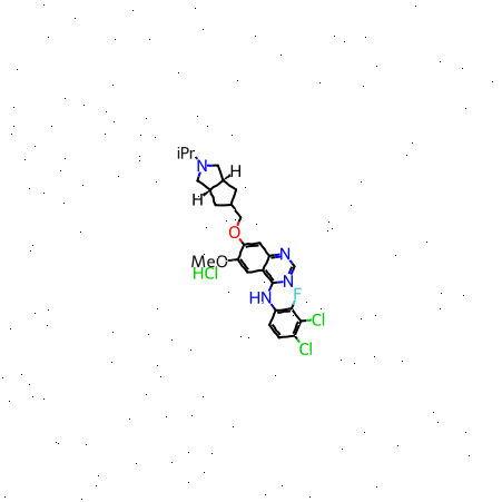 COc1cc2c(Nc3ccc(Cl)c(Cl)c3F)ncnc2cc1OCC1C[C@@H]2CN(C(C)C)C[C@@H]2C1.Cl